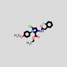 CCOC(=O)c1c(NC(=O)Cc2ccccc2F)cc(Cl)n1-c1ccc(OC)cc1